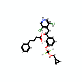 O=C(CCCc1ccccc1)OC(Cc1c(Cl)cncc1Cl)c1cccc(OC(F)(F)OCC2CC2)c1